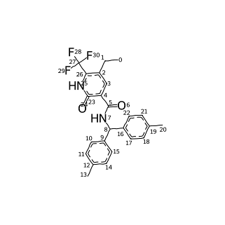 CCc1cc(C(=O)NC(c2ccc(C)cc2)c2ccc(C)cc2)c(=O)[nH]c1C(F)(F)F